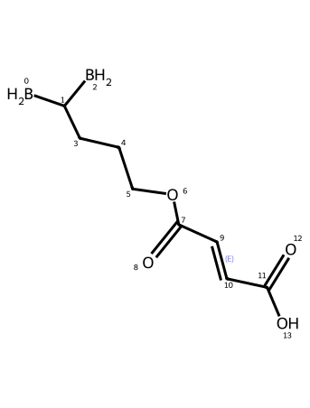 BC(B)CCCOC(=O)/C=C/C(=O)O